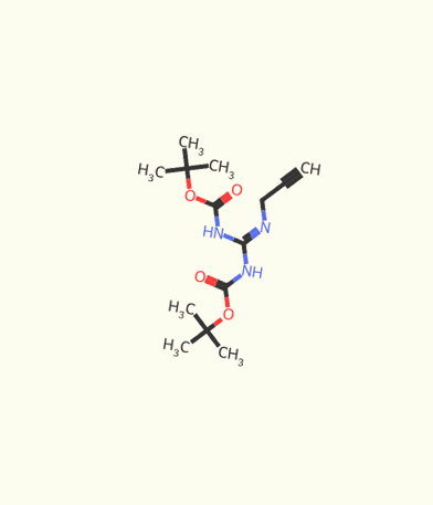 C#CCN=C(NC(=O)OC(C)(C)C)NC(=O)OC(C)(C)C